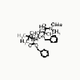 CC(C)(C=O)NC(=O)OCc1ccccc1.CON(C)C(=O)C(C)(C)N(Cc1ccccc1)C(=O)O